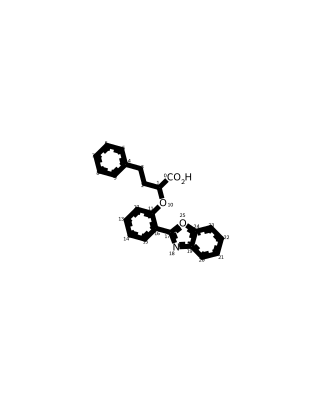 O=C(O)C(CCc1ccccc1)Oc1ccccc1-c1nc2ccccc2o1